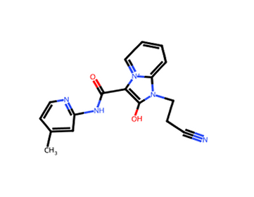 Cc1ccnc(NC(=O)c2c(O)n(CCC#N)c3cccc[n+]23)c1